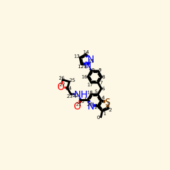 Cc1csc2c(Cc3ccc(-n4cccn4)cc3)cc(C(=O)NCC3CCO3)nc12